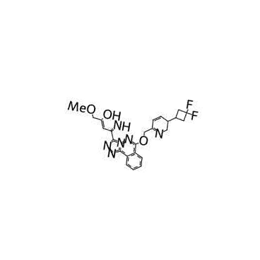 COC/C(O)=C/C(=N)c1nnc2c3ccccc3c(OCC3=NCC(C4CC(F)(F)C4)C=C3)nn12